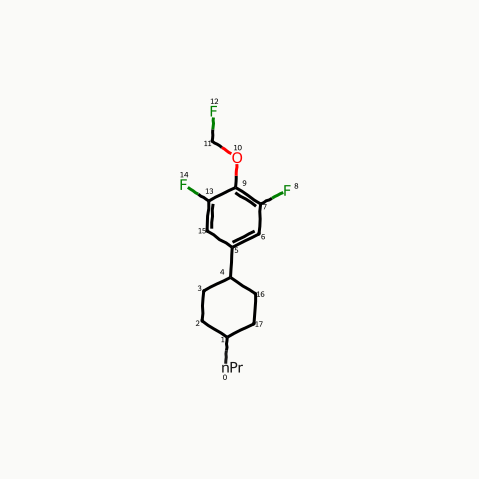 CCCC1CCC(c2cc(F)c(OCF)c(F)c2)CC1